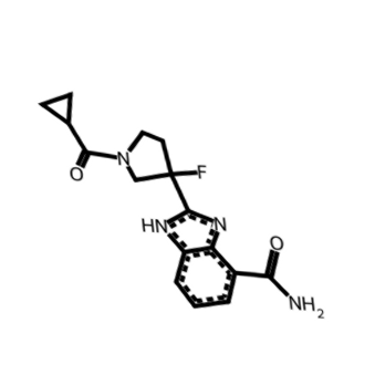 NC(=O)c1cccc2[nH]c(C3(F)CCN(C(=O)C4CC4)C3)nc12